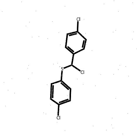 Clc1ccc(SC(Cl)c2ccc(Cl)cc2)cc1